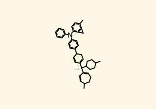 Cc1ccc(N(c2ccccc2)c2ccc(C3C=CC([C@](C)(C4=CCCC(C)C=C4)C4CCC(C)CC4)=CC3)cc2)c2c1C2